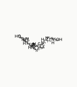 Cc1c(NCCC2=CC[C@H](CNCCO)C=N2)cccc1[C@@H]1CC=CC(NC(=O)/C=C/C=C(\C=N)CNCCCO)=C(Cl)C1